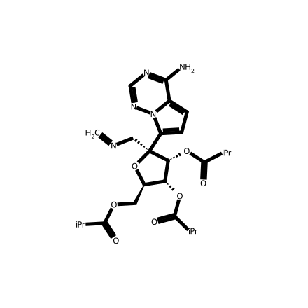 C=NC[C@@]1(c2ccc3c(N)ncnn23)O[C@H](COC(=O)C(C)C)[C@@H](OC(=O)C(C)C)[C@H]1OC(=O)C(C)C